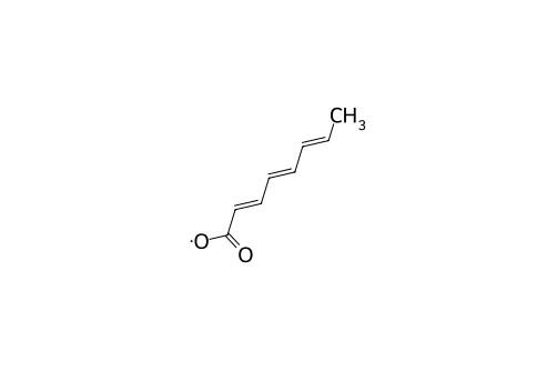 CC=CC=CC=CC([O])=O